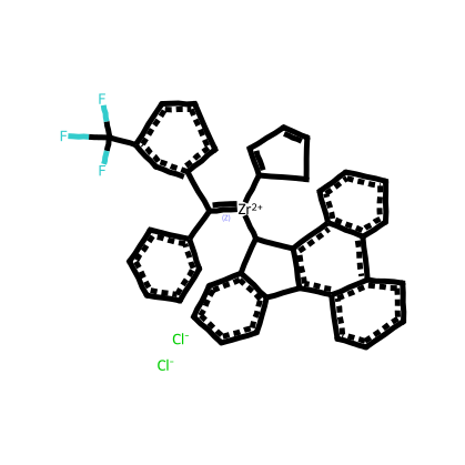 FC(F)(F)c1cccc(/[C](c2ccccc2)=[Zr+2](\[C]2=CC=CC2)[CH]2c3ccccc3-c3c2c2ccccc2c2ccccc32)c1.[Cl-].[Cl-]